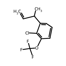 C=C[C](C)c1cccc(OC(F)(F)F)c1Cl